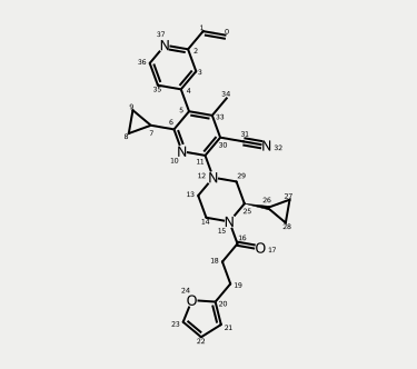 C=Cc1cc(-c2c(C3CC3)nc(N3CCN(C(=O)CCc4ccco4)[C@H](C4CC4)C3)c(C#N)c2C)ccn1